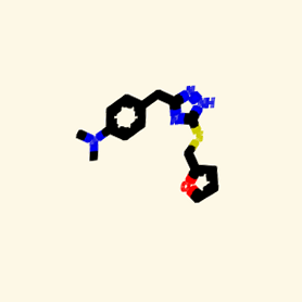 CN(C)c1ccc(Cc2n[nH]c(SCc3ccco3)n2)cc1